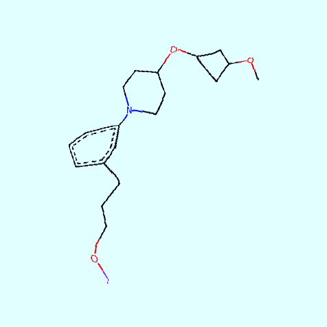 COC1CC(OC2CCN(c3cccc(CCCOI)c3)CC2)C1